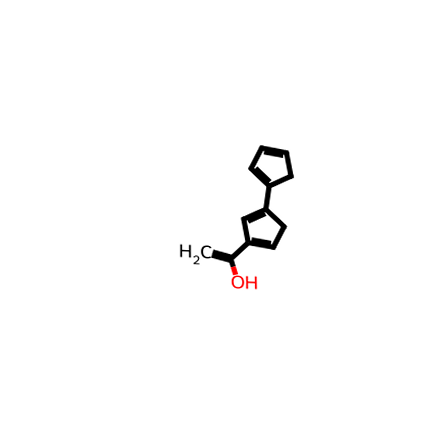 C=C(O)C1=CCC(C2=CC=CC2)=C1